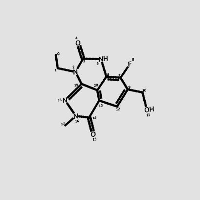 CCN1C(=O)Nc2c(F)c(CO)cc3c(=O)n(C)nc1c23